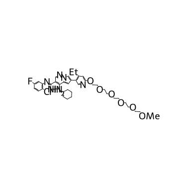 CCc1cc(OCCOCCOCCOCCOCCOC)ncc1-c1cc2c(NC3CCCCC3)c(/C(N)=N/c3cc(F)ccc3Cl)cnn2c1